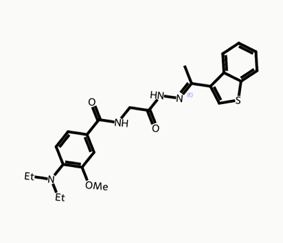 CCN(CC)c1ccc(C(=O)NCC(=O)N/N=C(\C)c2csc3ccccc23)cc1OC